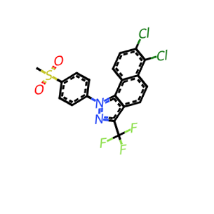 CS(=O)(=O)c1ccc(-n2nc(C(F)(F)F)c3ccc4c(Cl)c(Cl)ccc4c32)cc1